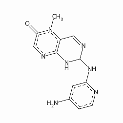 Cn1c2c(ncc1=O)NC(Nc1cc(N)ccn1)N=C2